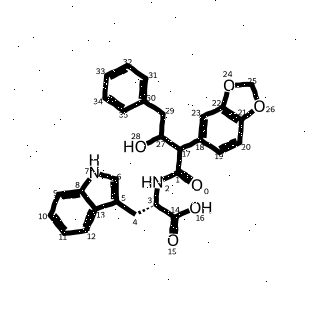 O=C(N[C@@H](Cc1c[nH]c2ccccc12)C(=O)O)C(c1ccc2c(c1)OCO2)C(O)Cc1ccccc1